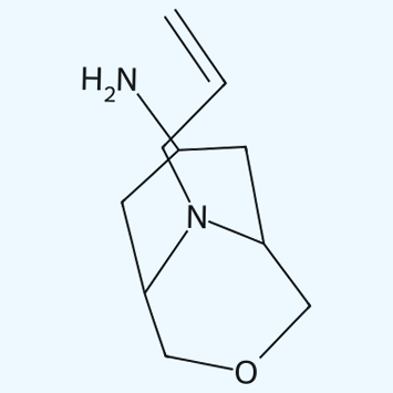 C=CCN1C2COCC1CC(N)C2